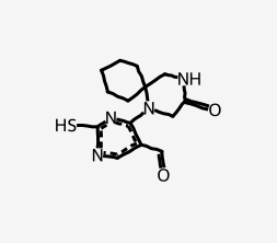 O=Cc1cnc(S)nc1N1CC(=O)NCC12CCCCC2